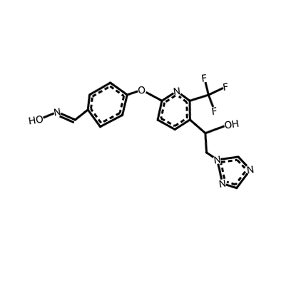 ON=Cc1ccc(Oc2ccc(C(O)Cn3cncn3)c(C(F)(F)F)n2)cc1